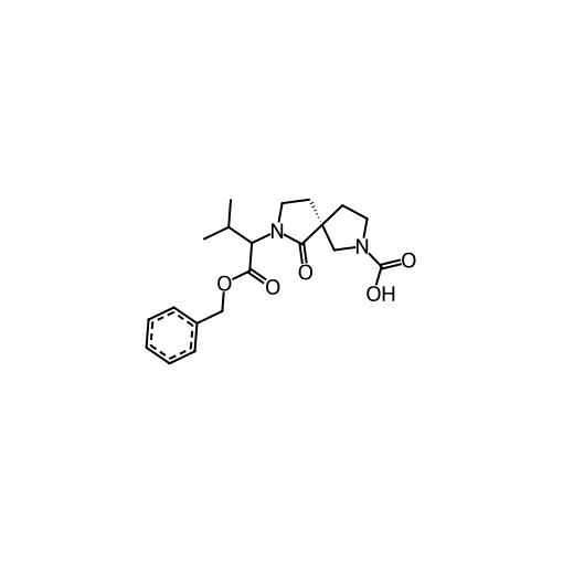 CC(C)C(C(=O)OCc1ccccc1)N1CC[C@@]2(CCN(C(=O)O)C2)C1=O